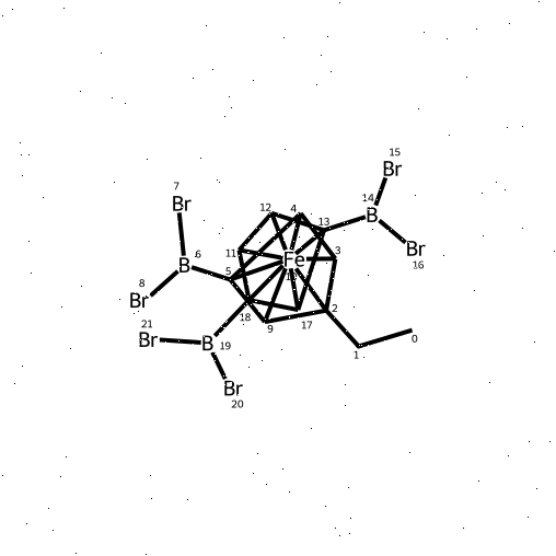 CC[C]12[CH]3[CH]4[C]5(B(Br)Br)[CH]1[Fe]34251678[CH]2[CH]1[C]6(B(Br)Br)[CH]7[C]28B(Br)Br